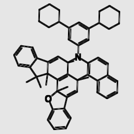 CC12Oc3ccccc3C1=CC1(C)C3=C2C2(C)C(=CC3(C)N(c3cc(C4CCCCC4)cc(C4CCCCC4)c3)c3ccc4ccccc4c31)c1ccccc1C2(C)C